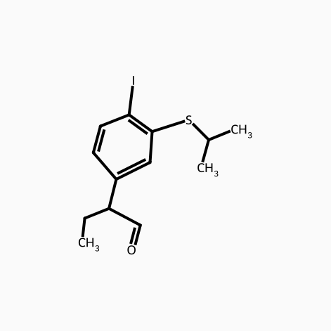 CCC(C=O)c1ccc(I)c(SC(C)C)c1